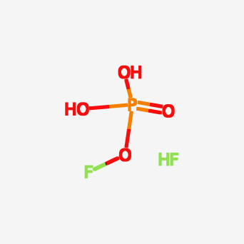 F.O=P(O)(O)OF